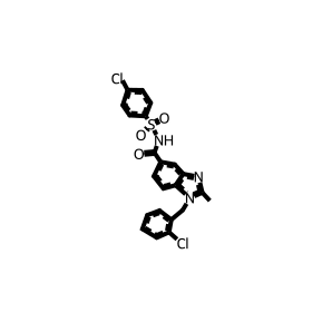 Cc1nc2cc(C(=O)NS(=O)(=O)c3ccc(Cl)cc3)ccc2n1Cc1ccccc1Cl